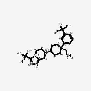 NC[C@]1(c2cccc(C(F)(F)F)c2)CC[C@H](N2CCn3c(nnc3C(F)(F)F)C2)CC1